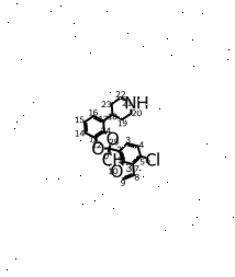 CC1(c2ccc(Cl)c3ccoc23)Oc2cccc(C3CCNCC3)c2O1